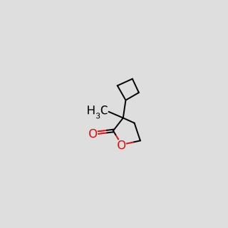 CC1(C2CCC2)CCOC1=O